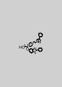 C[C@H](O)C(Oc1ccc2sc(-c3ccccc3)nc2c1)N1CCN(CCn2cc(-c3ccccc3)cn2)CC1